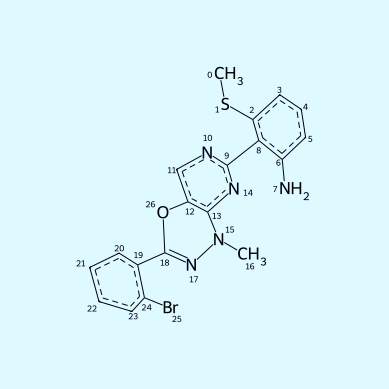 CSc1cccc(N)c1-c1ncc2c(n1)N(C)N=C(c1ccccc1Br)O2